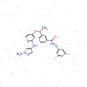 CC(Oc1ccnc(Nc2cnn(C)c2)c1)c1cccc(C(=O)NCc2cc(F)cc(F)c2)c1